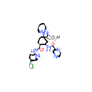 O=C(Nc1ccc(Cl)cn1)C1=C(NC(=O)c2cnccn2)CC(C(=O)O)(N2C=CC=CC=N2)C=C1